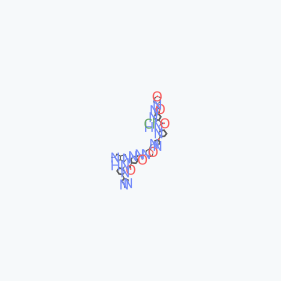 CN1CC2CN(c3nc4nc(N5CCOC(Cn6cc(-c7cccc(NC(=O)c8cc9oc(N%10CCOCC%10)nc9nc8Cl)n7)cn6)C5)oc4cc3C(=O)Nc3cccc(-c4cnn(C)c4)n3)CC2C1